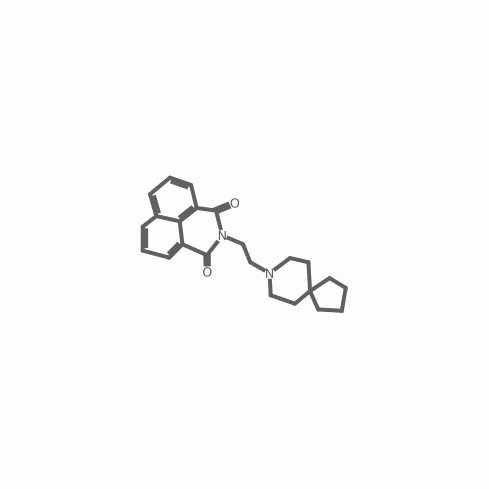 O=C1c2cccc3cccc(c23)C(=O)N1CCN1CCC2(CCCC2)CC1